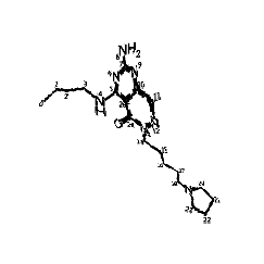 CCCCNc1nc(N)nc2cnn(CCCCCN3CCCC3)c(=O)c12